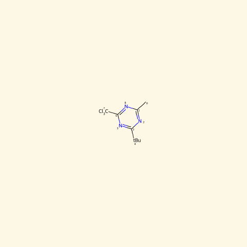 Cc1nc(C(C)(C)C)nc(C(Cl)(Cl)Cl)n1